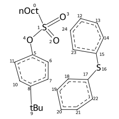 CCCCCCCCS(=O)(=O)Oc1ccc(C(C)(C)C)cc1.c1ccc(Sc2ccccc2)cc1